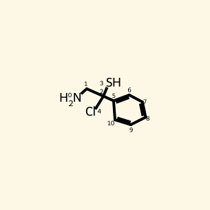 NCC(S)(Cl)c1ccccc1